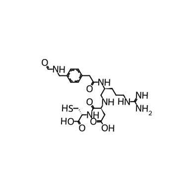 N=C(N)NCCC[C@@H](CN[C@@H](CC(=O)O)C(=O)N[C@@H](CS)C(=O)O)NC(=O)Cc1ccc(CNC=O)cc1